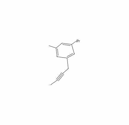 [CH2]C#CCc1cc(C)cc(C(C)C)c1